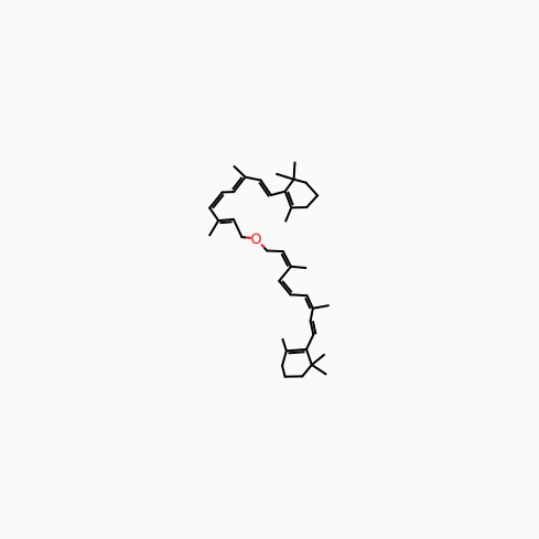 CC(C=CC1=C(C)CCCC1(C)C)=C/C=C\C(C)=CCOCC=C(C)/C=C\C=C(C)C=CC1=C(C)CCCC1(C)C